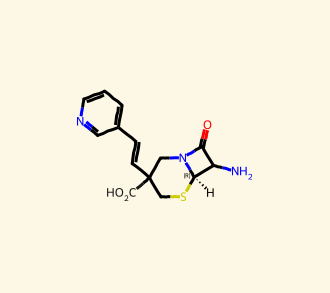 NC1C(=O)N2CC(C=Cc3cccnc3)(C(=O)O)CS[C@H]12